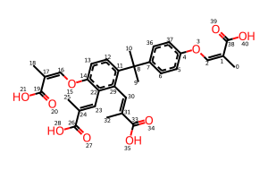 CC(=COc1ccc(C(C)(C)c2ccc(OC=C(C)C(=O)O)c(C=C(C)C(=O)O)c2C=C(C)C(=O)O)cc1)C(=O)O